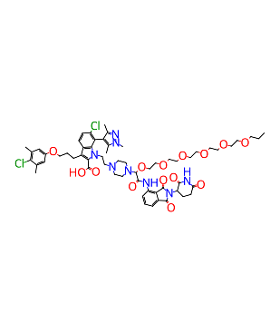 CCCOCCOCCOCCOCCOCCOC(C(=O)Nc1cccc2c1C(=O)N(C1CCC(=O)NC1=O)C2=O)N1CCN(CCn2c(C(=O)O)c(CCCOc3cc(C)c(Cl)c(C)c3)c3ccc(Cl)c(-c4c(C)nn(C)c4C)c32)CC1